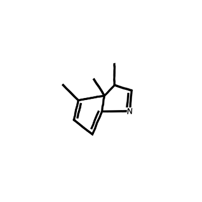 CC1=CC=C2N=CC(C)C12C